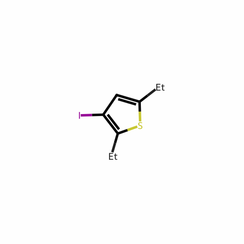 CCc1cc(I)c(CC)s1